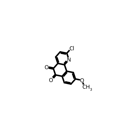 COc1ccc2c(c1)-c1nc(Cl)ccc1C(=O)C2=O